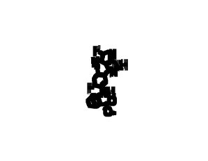 COC(=O)C1C2CCC(CC2)C1Nc1cc(-c2n[nH]c3ncc(F)cc23)c(C#N)cc1F